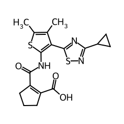 Cc1sc(NC(=O)C2=C(C(=O)O)CCC2)c(-c2nc(C3CC3)ns2)c1C